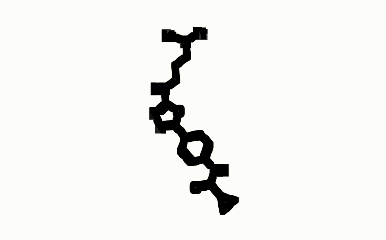 CCN(CC)CCCNc1nnc(-c2ccc(NC(=O)C3CC3)cc2)o1